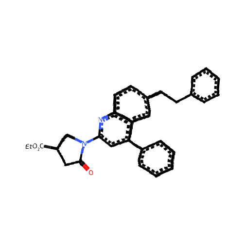 CCOC(=O)C1CC(=O)N(c2cc(-c3ccccc3)c3cc(CCc4ccccc4)ccc3n2)C1